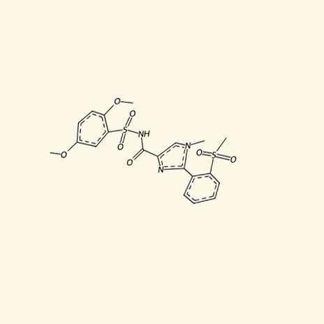 COc1ccc(OC)c(S(=O)(=O)NC(=O)c2cn(C)c(-c3ccccc3S(C)(=O)=O)n2)c1